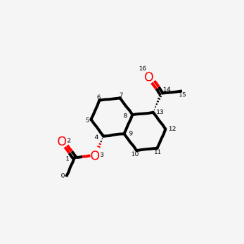 CC(=O)O[C@@H]1CCCC2C1CCC[C@H]2C(C)=O